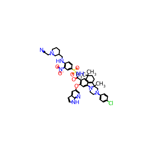 CC1(C)CC=C(C2(C)CN(c3ccc(Cl)cc3)CCN2c2ccc(C(=O)NS(=O)(=O)c3ccc(NCC4CCCN(CC#N)C4)c([N+](=O)[O-])c3)c(Oc3cnc4[nH]ccc4c3)c2)CC1